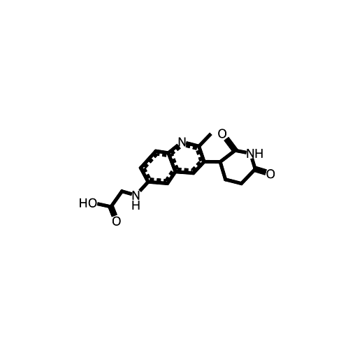 Cc1nc2ccc(NCC(=O)O)cc2cc1C1CCC(=O)NC1=O